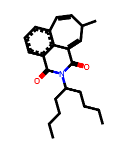 CCCCC(CCCC)N1C(=O)C2=CC(C)C=Cc3cccc(c32)C1=O